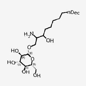 CCCCCCCCCCCCCCCC(O)C(N)CO[C@@H]1O[C@H](CO)[C@@H](O)[C@H](O)[C@H]1O